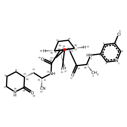 C[C@@H](Nc1cncc(Cl)c1)C(=O)N1[C@@H]2CC[C@H]([C@@H]1C(=O)N[C@H](C#N)C[C@H]1CCCNC1=O)C(F)(F)C2